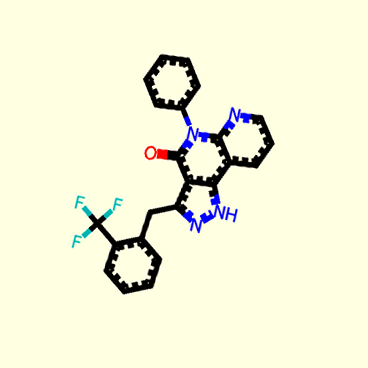 O=c1c2c(Cc3ccccc3C(F)(F)F)n[nH]c2c2cccnc2n1-c1ccccc1